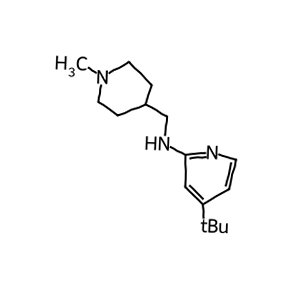 CN1CCC(CNc2cc(C(C)(C)C)ccn2)CC1